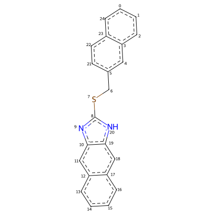 c1ccc2cc(CSc3nc4cc5ccccc5cc4[nH]3)ccc2c1